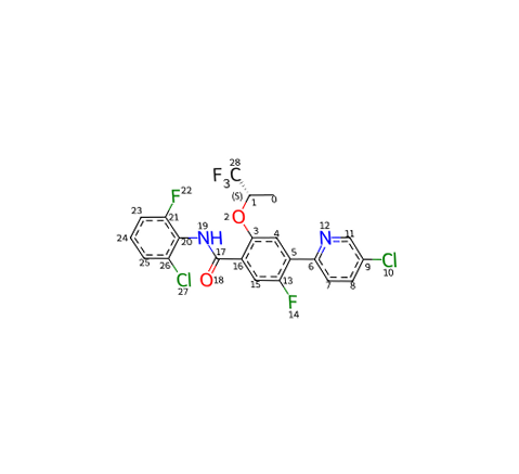 C[C@H](Oc1cc(-c2ccc(Cl)cn2)c(F)cc1C(=O)Nc1c(F)cccc1Cl)C(F)(F)F